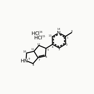 Cc1ccc(C2C=C3CNCC3C2)cn1.Cl.Cl